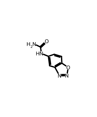 NC(=O)Nc1ccc2onnc2c1